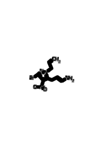 C=CCn1nc(Br)c([N+](=O)[O-])c1CC=CN